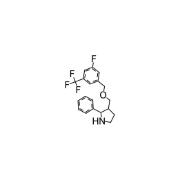 Fc1cc(COCC2CCNC2c2ccccc2)cc(C(F)(F)F)c1